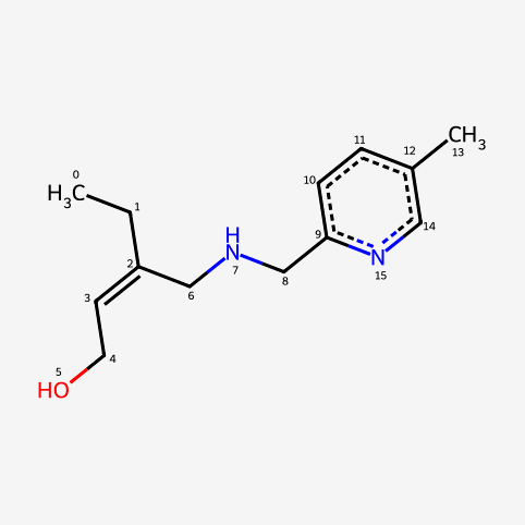 CC/C(=C/CO)CNCc1ccc(C)cn1